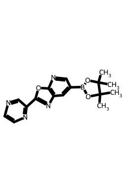 CC1(C)OB(c2cnc3oc(-c4cnccn4)nc3c2)OC1(C)C